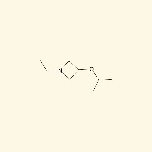 CCN1CC(OC(C)C)C1